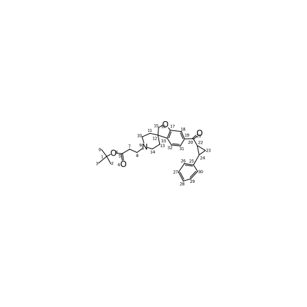 CC(C)(C)OC(=O)CCN1CCC2(CC1)COc1cc(C(=O)C3CC3c3ccccc3)ccc12